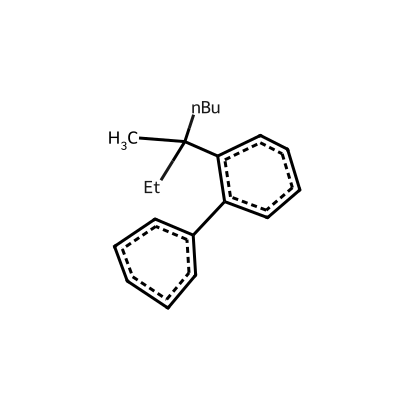 CCCCC(C)(CC)c1ccccc1-c1ccccc1